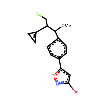 COC(c1ccc(-c2cc(Br)no2)cc1)C(CF)C1=CC1